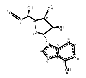 O=[S+][C@@H](O)[C@H]1O[C@@H](n2cnc3c(O)ncnc32)[C@H](O)[C@@H]1O